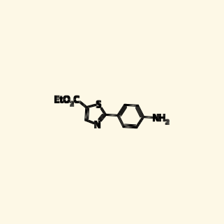 CCOC(=O)c1cnc(-c2ccc(N)cc2)s1